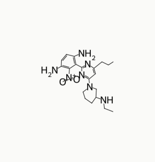 CCCc1cc(N2CCCC(NCC)C2)nc(-c2c(N)ccc(N)c2[N+](=O)[O-])n1